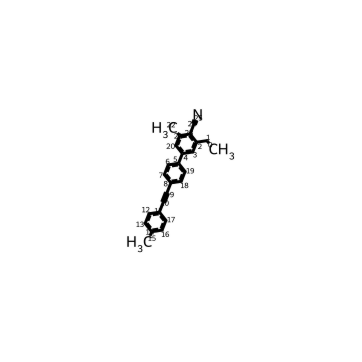 CCc1cc(-c2ccc(C#Cc3ccc(C)cc3)cc2)cc(C)c1C#N